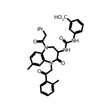 Cc1ccc2c(c1)N(CC(=O)c1ccccc1C)C(=O)C(NC(=O)Nc1cccc(C(=O)O)c1)CN2C(=O)CC(C)C